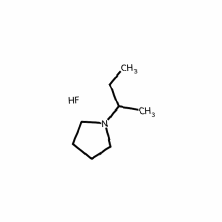 CCC(C)N1CCCC1.F